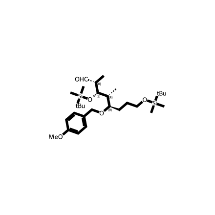 COc1ccc(CO[C@H](CCCO[Si](C)(C)C(C)(C)C)[C@@H](C)[C@H](O[Si](C)(C)C(C)(C)C)[C@@H](C)C=O)cc1